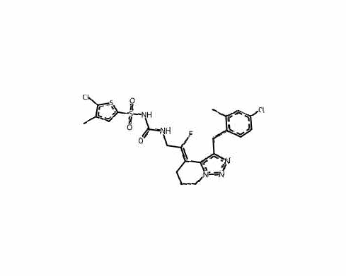 Cc1cc(Cl)ccc1Cc1nnn2c1C(=C(F)CNC(=O)NS(=O)(=O)c1cc(C)c(Cl)s1)CCC2